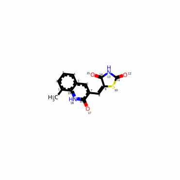 Cc1cccc2cc(C=C3SC(=O)NC3=O)c(=O)[nH]c12